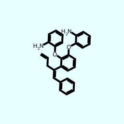 C=CCC(=Cc1ccccc1)c1cccc(Oc2ccccc2N)c1Oc1ccccc1N